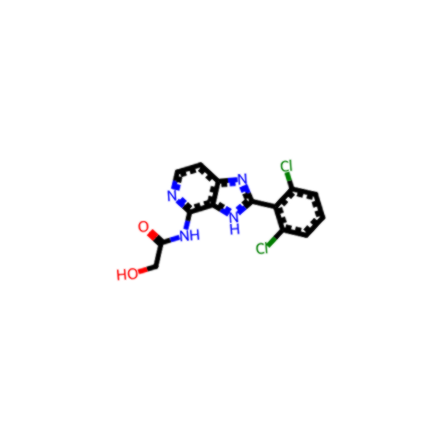 O=C(CO)Nc1nccc2nc(-c3c(Cl)cccc3Cl)[nH]c12